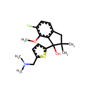 COc1c(F)ccc2c1C(O)(c1ccc(CN(C)C)s1)C(C)(C)C2